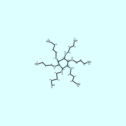 SCCCOC1C(OCCCS)C(OCCCS)C(OCCCS)C(OCCCS)C1OCCCS